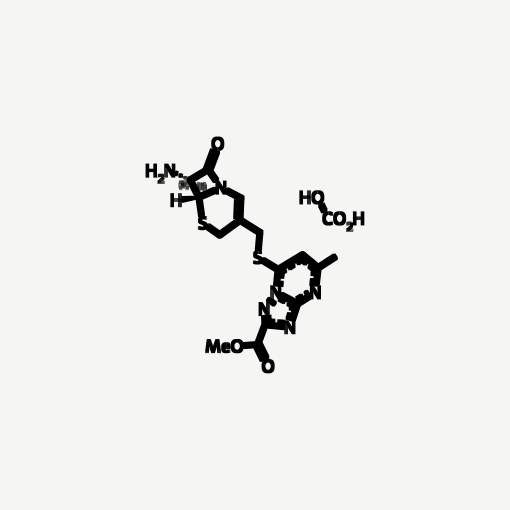 COC(=O)c1nc2nc(C)cc(SCC3=CN4C(=O)[C@@H](N)[C@H]4SC3)n2n1.O=C(O)O